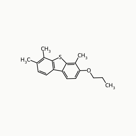 CCCOc1ccc2c(sc3c(C)c(C)ccc32)c1C